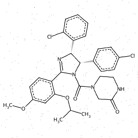 COc1ccc(C2=N[C@H](c3ccccc3Cl)[C@H](c3ccc(Cl)cc3)N2C(=O)N2CCNC(=O)C2)c(OC(C)C)c1